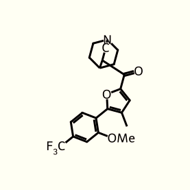 COc1cc(C(F)(F)F)ccc1-c1oc(C(=O)C2CN3CCC2CC3)cc1C